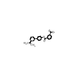 CC(C)=C1[C]=CC=C(c2ccc(OC(=O)c3cccc(C([O])=O)c3)cc2)C1